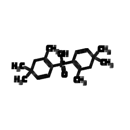 CC1=C(P(=O)(O)C2=C(C)CC(C)(C)C=C2)C=CC(C)(C)C1